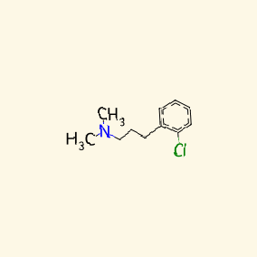 CN(C)CCCc1ccccc1Cl